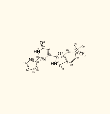 CC(NC(=O)c1cc(=O)[nH]c(-c2ncccn2)n1)c1ccc(C(C)(C)C(F)(F)F)cc1